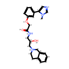 Cn1cncc1-c1cccc(OCC(=O)NC[C@@H](O)CN2CCc3ccccc3C2)c1